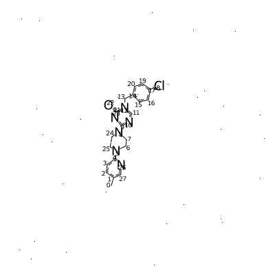 Cc1ccc(N2CCN(c3ncn(Cc4ccc(Cl)cc4)c(=O)n3)CC2)nc1